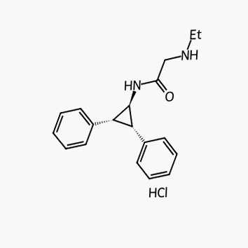 CCNCC(=O)N[C@@H]1[C@@H](c2ccccc2)[C@H]1c1ccccc1.Cl